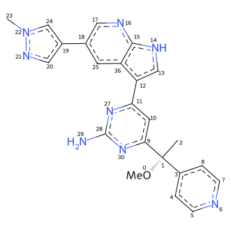 CO[C@](C)(c1ccncc1)c1cc(-c2c[nH]c3ncc(-c4cnn(C)c4)cc23)nc(N)n1